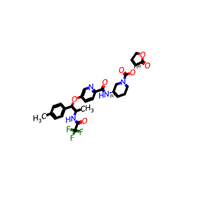 Cc1ccc(C(Oc2ccc(C(=O)N[C@H]3CCCN(C(=O)O[C@@H]4CCOC4=O)C3)nc2)C(C)NC(=O)C(F)(F)F)cc1